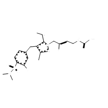 Cc1nn(C/C(F)=C/CNC(=O)O)c([C@@H](C)O)c1Cc1ccc(S(=O)(=O)N(C)C)c(Cl)c1